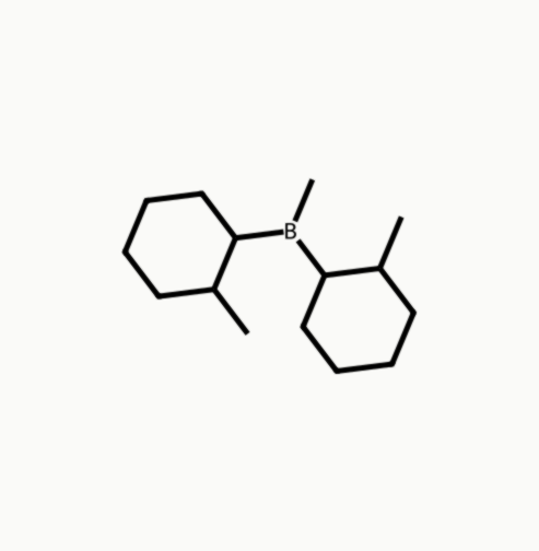 CB(C1CCCCC1C)C1CCCCC1C